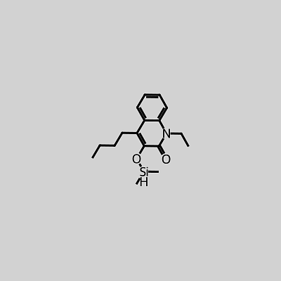 CCCCc1c(O[SiH](C)C)c(=O)n(CC)c2ccccc12